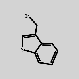 BrCc1csc2ccccc12